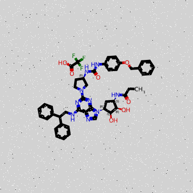 CCC(=O)N[C@H]1C[C@@H](n2cnc3c(NCC(c4ccccc4)c4ccccc4)nc(N4CC[C@@H](NC(=O)Nc5ccc(OCc6ccccc6)cc5)C4)nc32)[C@H](O)[C@@H]1O.O=C(O)C(F)(F)F